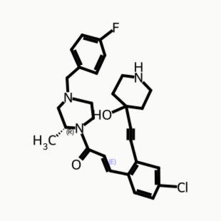 C[C@@H]1CN(Cc2ccc(F)cc2)CCN1C(=O)/C=C/c1ccc(Cl)cc1C#CC1(O)CCNCC1